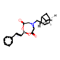 CC1(C)C2C[C@H]1CC[C@@H]2CN1CC(=O)OB(/C=C/c2ccccc2)OC(=O)C1